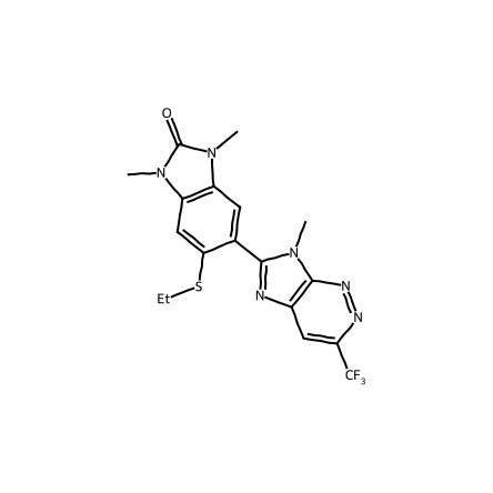 CCSc1cc2c(cc1-c1nc3cc(C(F)(F)F)nnc3n1C)n(C)c(=O)n2C